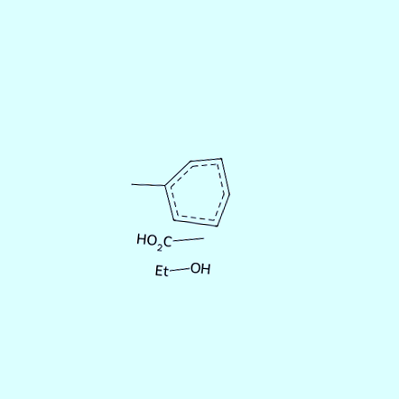 CC(=O)O.CCO.Cc1ccccc1